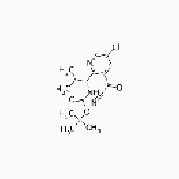 CC(C)[C@@H](NC(=O)OC(C)(C)C)c1ncc(Cl)cc1C(=O)C#N